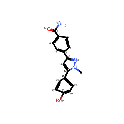 Cn1nc(-c2ccc(C(N)=O)cc2)cc1-c1ccc(Br)cc1